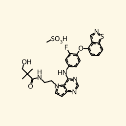 CC(C)(CO)C(=O)NCCn1ccc2ncnc(Nc3ccc(Oc4cccc5sncc45)c(F)c3)c21.CS(=O)(=O)O